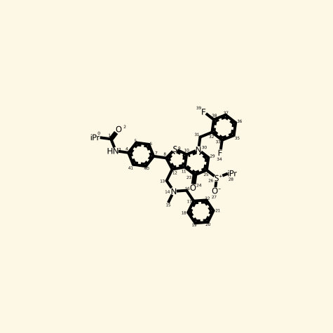 CC(C)C(=O)Nc1ccc(-c2sc3c(c2CN(C)Cc2ccccc2)c(=O)c([S+]([O-])C(C)C)cn3Cc2c(F)cccc2F)cc1